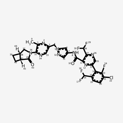 Cc1nc(Cn2cc(NC(=O)c3nc(-c4c(C(F)F)ccc(Cl)c4F)cnc3C(F)F)cn2)cnc1N1C[C@H]2CC[C@H]2C1=O